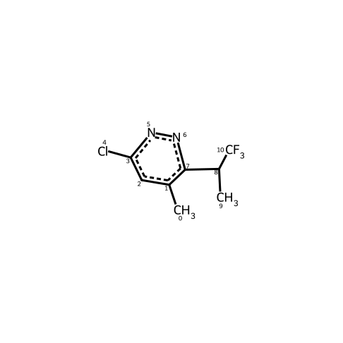 Cc1cc(Cl)nnc1C(C)C(F)(F)F